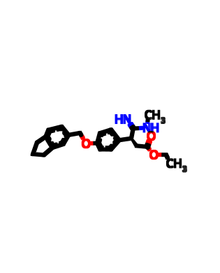 CCOC(=O)C[C@H](C(=N)NC)c1ccc(OCc2ccc3c(c2)CCC3)cc1